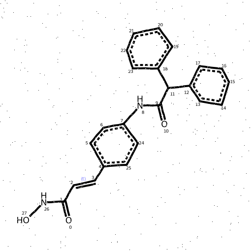 O=C(/C=C/c1ccc(NC(=O)C(c2ccccc2)c2ccccc2)cc1)NO